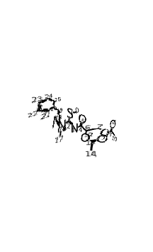 CSC(=NC(=O)C(COC(C)=O)OC(C)=O)N(C)N=Cc1ccccc1